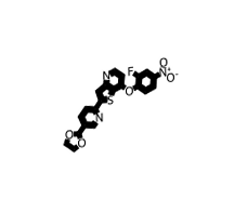 O=[N+]([O-])c1ccc(Oc2ccnc3cc(-c4ccc(C5OCCO5)cn4)sc23)c(F)c1